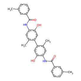 Cc1cccc(C(=O)Nc2cc(C)c(-c3cc(O)c(NC(=O)c4cccc(C)c4)cc3C)cc2O)c1